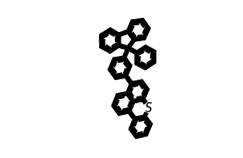 c1ccc(C2(c3cccc(-c4ccc5c6c(cccc46)-c4ccccc4S5)c3)c3ccccc3-c3ccccc32)cc1